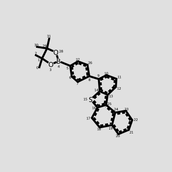 CC1(C)OB(c2ccc(-c3cccc4c3sc3ccc5ccccc5c34)cc2)OC1(C)C